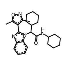 Cc1noc(C)c1-c1nc2ccccc2n1C(C(=O)NC1CCCCC1)C1CCCCC1